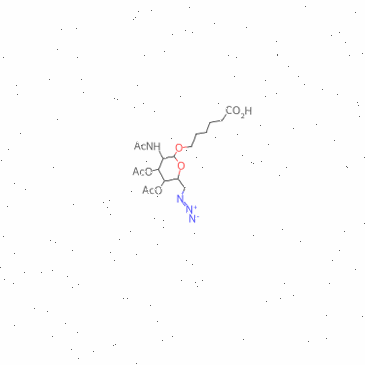 CC(=O)NC1C(OCCCCCC(=O)O)OC(CN=[N+]=[N-])C(OC(C)=O)C1OC(C)=O